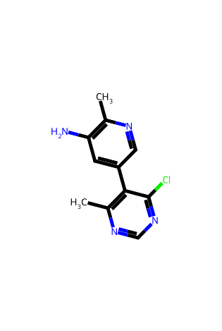 Cc1ncc(-c2c(C)ncnc2Cl)cc1N